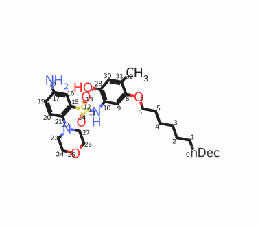 CCCCCCCCCCCCCCCCOc1cc(NS(=O)(=O)c2cc(N)ccc2N2CCOCC2)c(O)cc1C